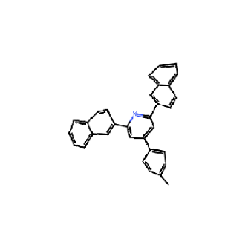 Cc1ccc(-c2cc(-c3ccc4ccccc4c3)nc(-c3ccc4ccccc4c3)c2)cc1